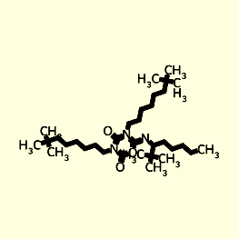 CCCCCC(N=c1oc(=O)n(CCCCCCC(C)(C)C)c(=O)n1CCCCCCC(C)(C)C)C(C)(C)C